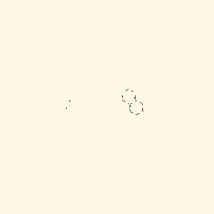 COc1cc2ncnc(OCCCCCNS(N)(=O)=O)c2cc1OC